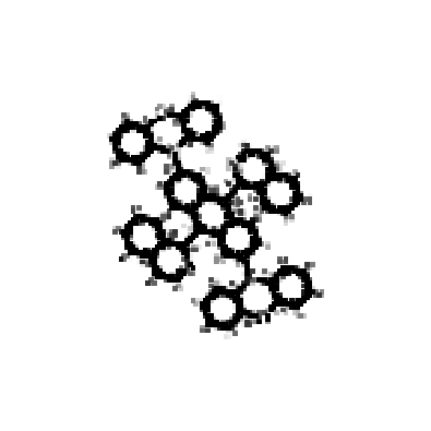 c1ccc2c(c1)Oc1ccccc1N2c1ccc2c(-c3nccc4ccccc34)c3cc(N4c5ccccc5Oc5ccccc54)ccc3c(-c3nccc4ccccc34)c2c1